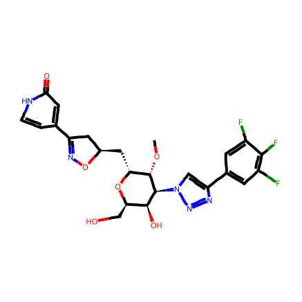 CO[C@@H]1[C@@H](n2cc(-c3cc(F)c(F)c(F)c3)nn2)[C@@H](O)[C@@H](CO)O[C@@H]1C[C@@H]1CC(c2cc[nH]c(=O)c2)=NO1